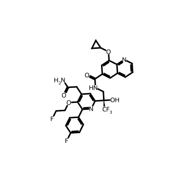 NC(=O)Cc1cc([C@@](O)(CNC(=O)c2cc(OC3CC3)c3ncccc3c2)C(F)(F)F)nc(-c2ccc(F)cc2)c1OCCF